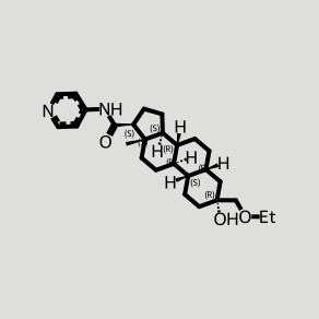 CCOC[C@@]1(O)CC[C@H]2[C@H](CC[C@@H]3[C@@H]2CC[C@]2(C)[C@@H](C(=O)Nc4ccncc4)CC[C@@H]32)C1